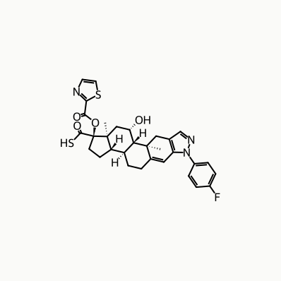 C[C@]12Cc3cnn(-c4ccc(F)cc4)c3C=C1CC[C@@H]1[C@@H]2[C@@H](O)C[C@@]2(C)[C@H]1CC[C@]2(OC(=O)c1nccs1)C(=O)S